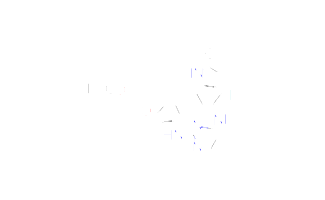 COCCOc1cccc(Nc2nccc(Nc3ccc4[nH]c(C)cc4c3F)n2)c1